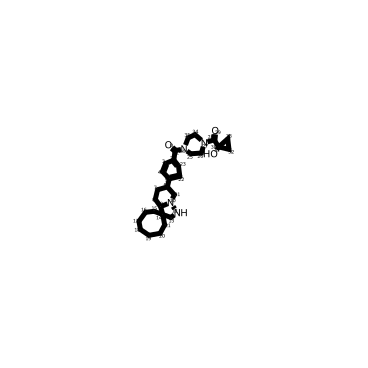 O=C(c1ccc(C2CCC3N(C2)NCC32CCCCCCC2)cc1)N1CCN(C(=O)C2(O)CC2)CC1